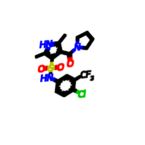 Cc1[nH]c(C)c(S(=O)(=O)Nc2ccc(Cl)c(C(F)(F)F)c2)c1C(=O)N1CCCC1